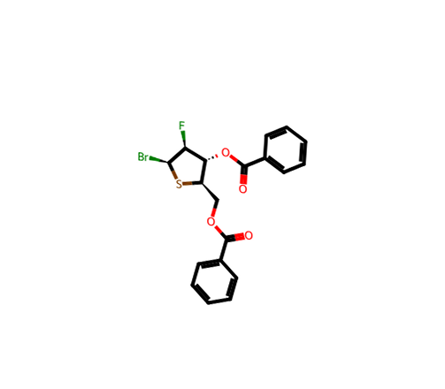 O=C(OC[C@H]1S[C@@H](Br)[C@@H](F)[C@@H]1OC(=O)c1ccccc1)c1ccccc1